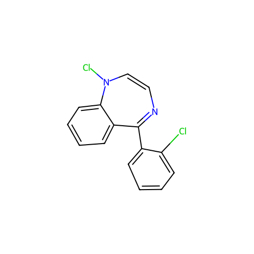 Clc1ccccc1C1=NC=CN(Cl)c2ccccc21